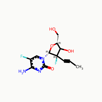 CC#C[C@@]1(F)C(O)[C@@H](CO)O[C@H]1n1cc(F)c(N)nc1=O